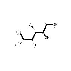 N[C@@H](C=O)[C@@H](O)[C@H](O)[C@H](O)CS